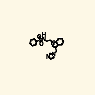 O=S(=O)(NCCn1cc(Cn2ccnc2)c2ccccc21)c1ccccc1